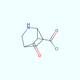 O=C(Cl)C1C(=O)C2CCC1NC2